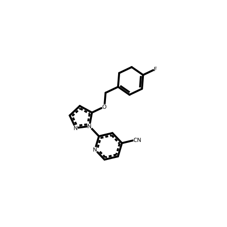 N#Cc1ccnc(-n2nccc2OCC2=CC=C(F)CC2)c1